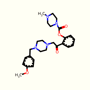 COc1ccc(CN2CCN(CC(=O)c3ccccc3OC(=O)N3CCN(C)CC3)CC2)cc1